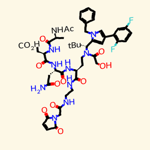 CC(=O)N[C@@H](C)C(=O)N[C@H](CC(=O)O)C(=O)N[C@@H](CC(N)=O)C(=O)N[C@@H](CCN(C(=O)CO)[C@@H](c1cc(-c2cc(F)ccc2F)cn1Cc1ccccc1)C(C)(C)C)C(=O)NCCNC(=O)CN1C(=O)C=CC1=O